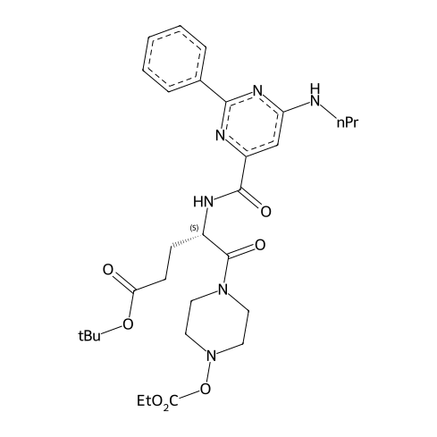 CCCNc1cc(C(=O)N[C@@H](CCC(=O)OC(C)(C)C)C(=O)N2CCN(OC(=O)OCC)CC2)nc(-c2ccccc2)n1